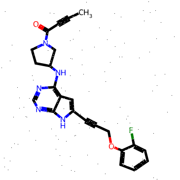 CC#CC(=O)N1CCC(Nc2ncnc3[nH]c(C#CCOc4ccccc4F)cc23)C1